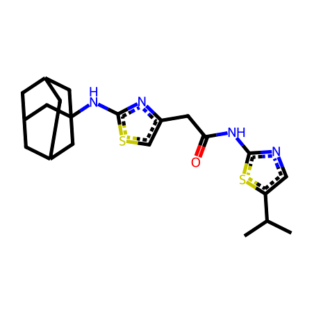 CC(C)c1cnc(NC(=O)Cc2csc(NC34CC5CC(CC(C5)C3)C4)n2)s1